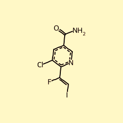 NC(=O)c1cnc(/C(F)=C/I)c(Cl)c1